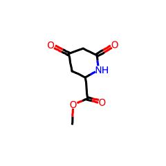 COC(=O)C1CC(=O)CC(=O)N1